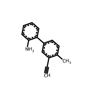 C#Cc1cc(-c2ccccc2N)ccc1C